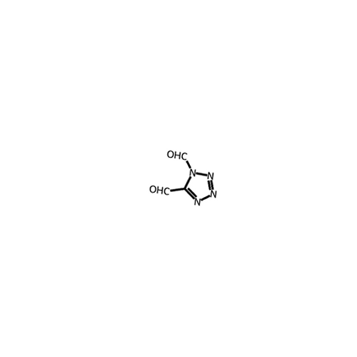 O=Cc1nnnn1C=O